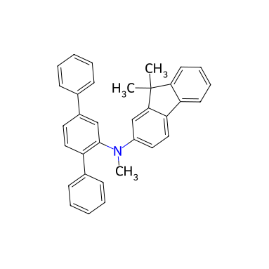 CN(c1ccc2c(c1)C(C)(C)c1ccccc1-2)c1cc(-c2ccccc2)ccc1-c1ccccc1